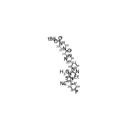 CCc1nc2ccc(-c3cnc(CC(=O)N4CCN(C(=O)OC(C)(C)C)CC4)nc3)cn2c1N(C)c1nc(-c2ccc(F)cc2)c(C#N)s1